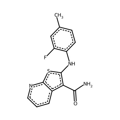 Cc1ccc(Nc2sc3ncccc3c2C(N)=O)c(F)c1